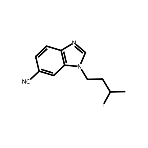 CC(I)CCn1cnc2ccc(C#N)cc21